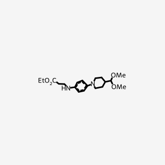 CCOC(=O)CCNc1ccc(N2CCC(C(OC)OC)CC2)cc1